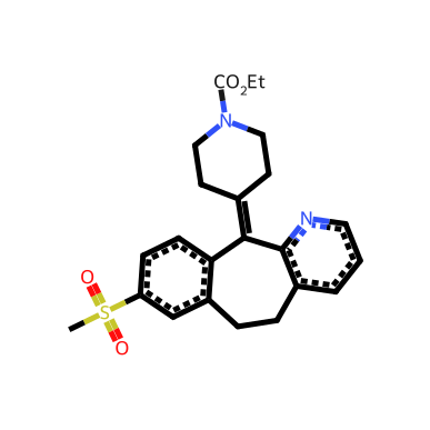 CCOC(=O)N1CCC(=C2c3ccc(S(C)(=O)=O)cc3CCc3cccnc32)CC1